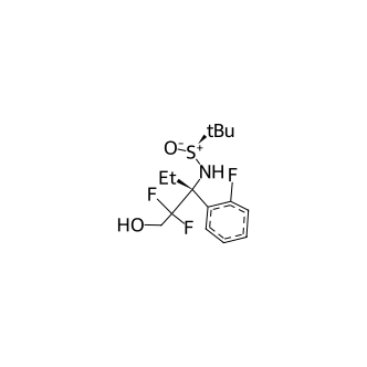 CC[C@@](N[S@@+]([O-])C(C)(C)C)(c1ccccc1F)C(F)(F)CO